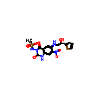 CS(=O)(=O)Nn1c(=O)[nH]c2cc([N+](=O)[O-])c(NCC(O)c3cccs3)cc2c1=O